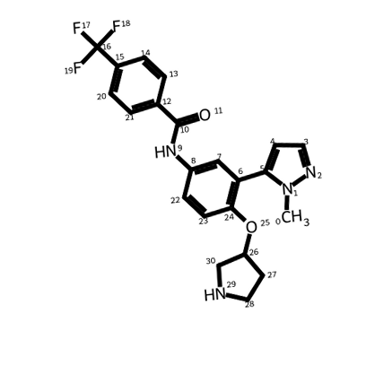 Cn1nccc1-c1cc(NC(=O)c2ccc(C(F)(F)F)cc2)ccc1OC1CCNC1